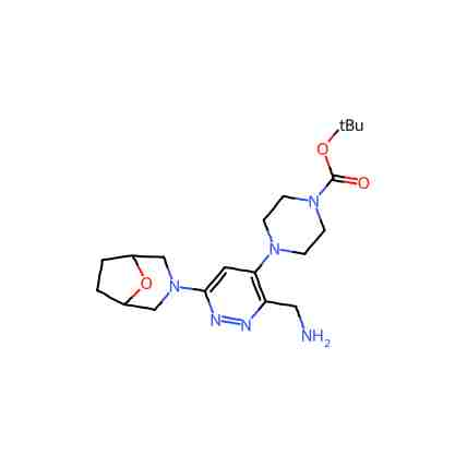 CC(C)(C)OC(=O)N1CCN(c2cc(N3CC4CCC(C3)O4)nnc2CN)CC1